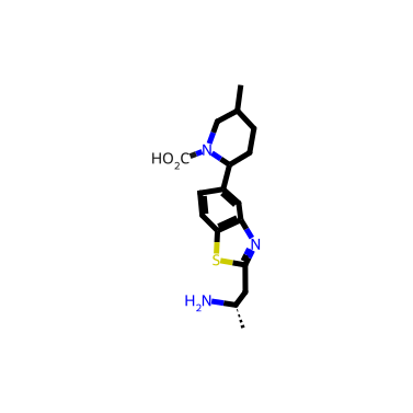 CC1CCC(c2ccc3sc(C[C@H](C)N)nc3c2)N(C(=O)O)C1